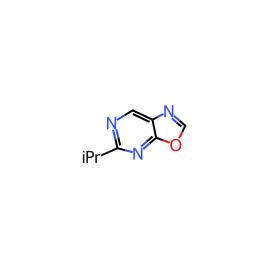 CC(C)c1ncc2ncoc2n1